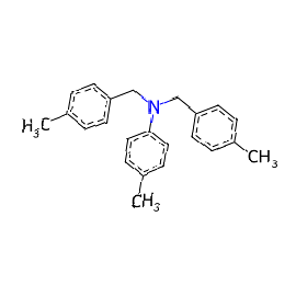 Cc1ccc(CN(Cc2ccc(C)cc2)c2ccc(C)cc2)cc1